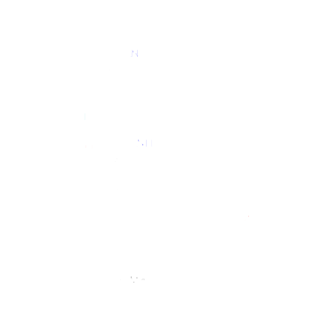 COc1ccc(C(=O)Nc2c(F)c(F)nc(F)c2F)cc1OC1CCOC1